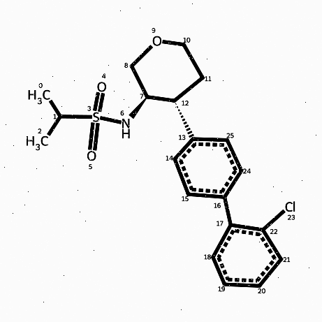 CC(C)S(=O)(=O)N[C@H]1COCC[C@@H]1c1ccc(-c2ccccc2Cl)cc1